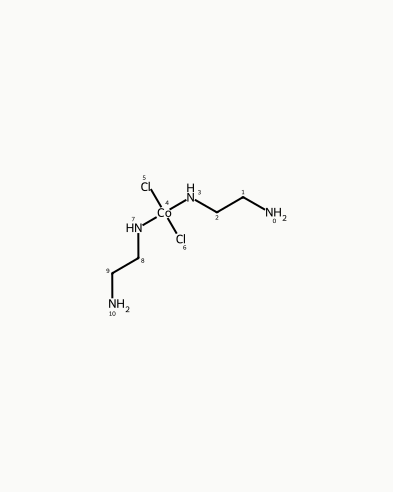 NCC[NH][Co]([Cl])([Cl])[NH]CCN